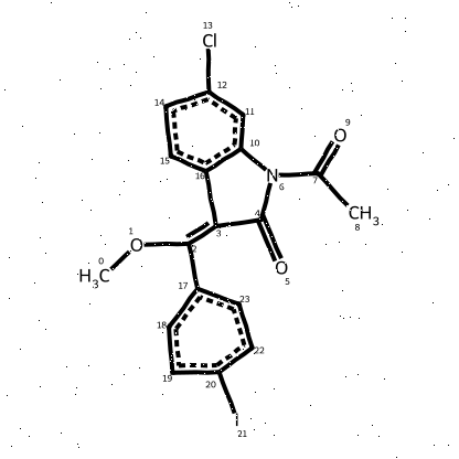 COC(=C1C(=O)N(C(C)=O)c2cc(Cl)ccc21)c1ccc(I)cc1